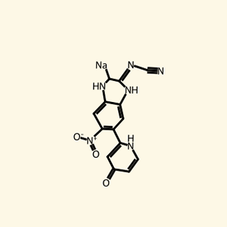 N#CN=C1Nc2cc(-c3cc(=O)cc[nH]3)c([N+](=O)[O-])cc2N[CH]1[Na]